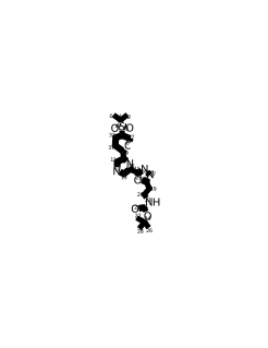 CC(C)S(=O)(=O)c1ccc(-c2cncc(-c3nnc(CCNC(=O)OC(C)(C)C)o3)n2)cc1